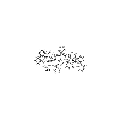 Cc1ccccc1-c1cccc(-c2cccc(N(c3cccc(C(C)C)c3)c3cc(C4CCCC4)c4ccc5c(N(c6cccc(C(C)C)c6)c6cccc7c6oc6c(-c8ccccc8C)cccc67)cc(C6CCCC6)c6ccc3c4c65)c2O)c1